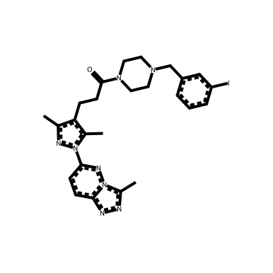 Cc1nn(-c2ccc3nnc(C)n3n2)c(C)c1CCC(=O)N1CCN(Cc2cccc(I)c2)CC1